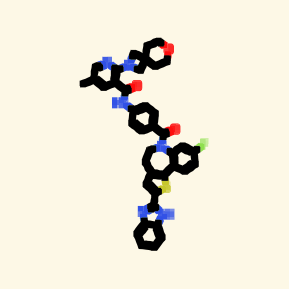 Cc1cnc(N2CC3(CCOCC3)C2)c(C(=O)Nc2ccc(C(=O)N3CCc4cc(-c5nc6ccccc6[nH]5)sc4-c4ccc(F)cc43)cc2)c1